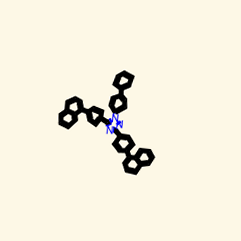 c1ccc(-c2ccc(-n3nc(-c4ccc(-c5cccc6ccccc56)cc4)nc3-c3ccc(-c4cccc5ccccc45)cc3)cc2)cc1